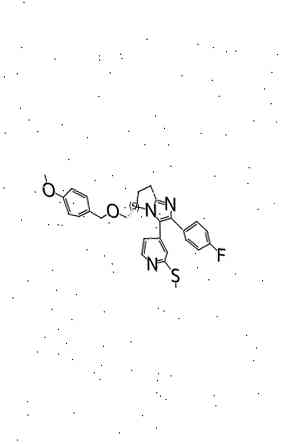 COc1ccc(COC[C@@H]2CCc3nc(-c4ccc(F)cc4)c(-c4ccnc(SC)c4)n32)cc1